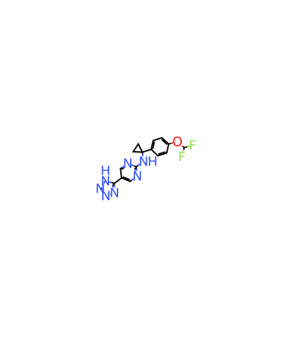 FC(F)Oc1ccc(C2(Nc3ncc(-c4nnn[nH]4)cn3)CC2)cc1